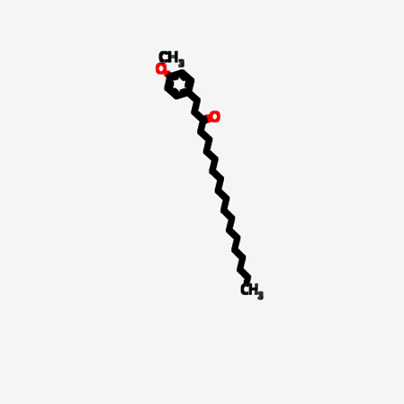 CCCCCCCCCCCCCCCCCC(=O)CCc1ccc(OC)cc1